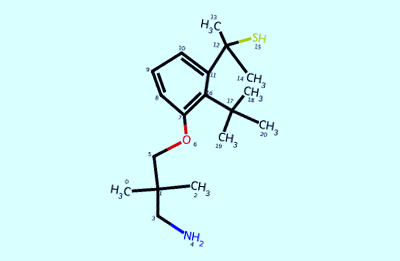 CC(C)(CN)COc1cccc(C(C)(C)S)c1C(C)(C)C